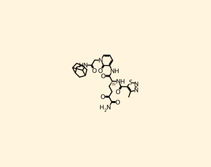 Cc1nnsc1C(=O)N[C@@H](CCC(=O)C(N)=O)C(=O)Nc1cccn(CC(=O)NC2C3CC4CC(C3)C2C4)c1=O